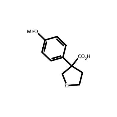 COc1ccc(C2(C(=O)O)CCOC2)cc1